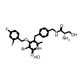 Cc1[nH]c(=O)c(Br)c(OCc2ccc(F)cc2F)c1Cc1ccc(CNC(=O)[C@@H](N)CO)cc1.Cl